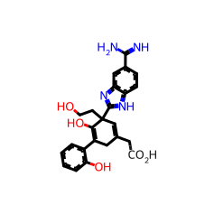 N=C(N)c1ccc2[nH]c(C3(CCO)C=C(CC(=O)O)CC(c4ccccc4O)=C3O)nc2c1